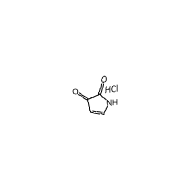 Cl.O=C1C=CNC1=O